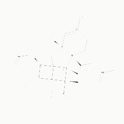 CC(=O)OC[C@]12CCC(C)=C[C@H]1OC13[C@H](OC(C)=O)[C@@H](O)[C@@H]1[C@@](C)(CO)[C@]32C